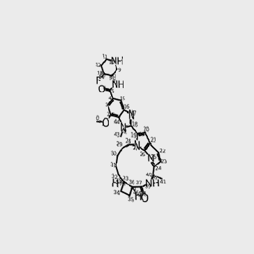 COc1cc(C(=O)N[C@H]2CNCC[C@@H]2F)cc2nc(-c3cc4ccc5nc4n3CCCCC[C@@H]3CC[C@H]3C(=O)N[C@@H]5C)n(C)c12